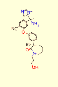 CCC1(c2cccc(Oc3cc(C(C)(N)c4cncn4C)ccc3C#N)c2)CCCCN(CCCO)C1=O